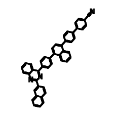 N#Cc1ccc(-c2ccc(-c3ccc(-c4ccc(-c5nc(-c6ccc7ccccc7c6)nc6ccccc56)cc4)c4ccccc34)cc2)cc1